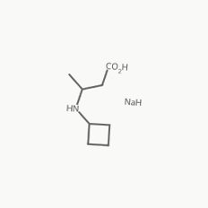 CC(CC(=O)O)NC1CCC1.[NaH]